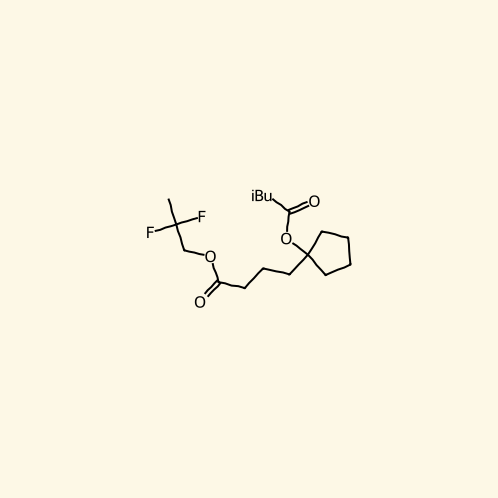 CCC(C)C(=O)OC1(CCCC(=O)OCC(C)(F)F)CCCC1